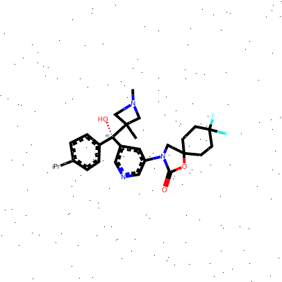 CC(C)c1ccc([C@](O)(c2cncc(N3CC4(CCC(F)(F)CC4)OC3=O)c2)C2(C)CN(C)C2)cc1